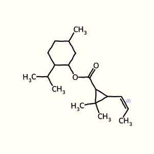 C/C=C\C1C(C(=O)OC2CC(C)CCC2C(C)C)C1(C)C